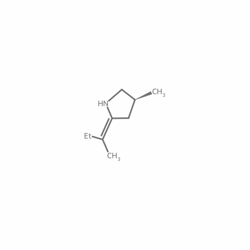 CC/C(C)=C1/C[C@H](C)CN1